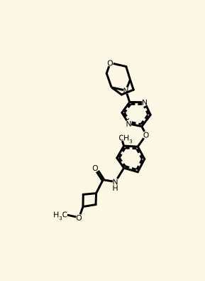 COC1CC(C(=O)Nc2ccc(Oc3cnc(N4C5CCC4COC5)cn3)c(C)c2)C1